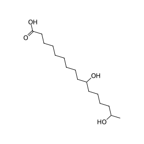 CC(O)CCCCC(O)CCCCCCCCC(=O)O